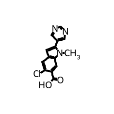 Cn1c(-c2cncnc2)cc2cc(Cl)c(C(=O)O)cc21